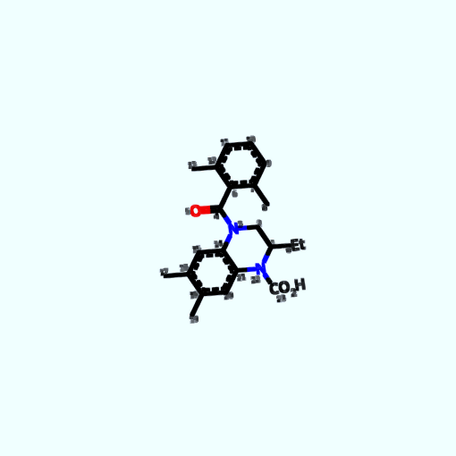 CCC1CN(C(=O)c2c(C)cccc2C)c2cc(C)c(C)cc2N1C(=O)O